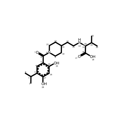 CC(C)c1cc(C(=O)N2CCC(CCN[C@H](C(=O)O)C(C)C)CC2)c(O)cc1O